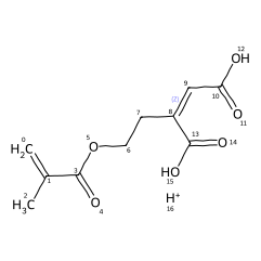 C=C(C)C(=O)OCC/C(=C/C(=O)O)C(=O)O.[H+]